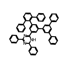 c1ccc(C2=NC(c3ccccc3)NC(c3cc(-c4cc(-c5ccccc5)cc(-c5ccccc5)c4)cc(-c4c(-c5ccccc5)cccc4-c4ccccc4)c3)=N2)cc1